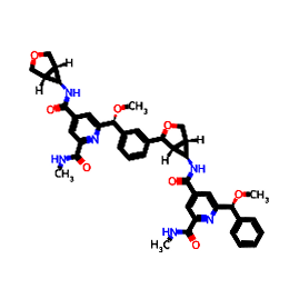 CNC(=O)c1cc(C(=O)N[C@H]2[C@@H]3COC[C@@H]32)cc([C@H](OC)c2cccc(C3OC[C@@H]4[C@@H](NC(=O)c5cc(C(=O)NC)nc([C@@H](OC)c6ccccc6)c5)[C@H]34)c2)n1